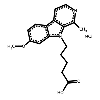 COc1ccc2c3ccnc(C)c3n(CCCCC(=O)O)c2c1.Cl